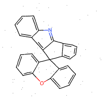 c1ccc2c(c1)Oc1ccccc1C21c2ccccc2-c2nc3ccccc3cc21